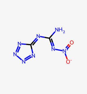 NC(=N[N+](=O)[O-])N=C1N=NN=N1